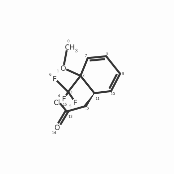 COC1(C(F)(F)F)C=CC=C[C@H]1CC(=O)Cl